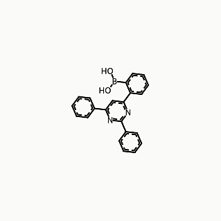 OB(O)c1ccccc1-c1cc(-c2ccccc2)nc(-c2ccccc2)n1